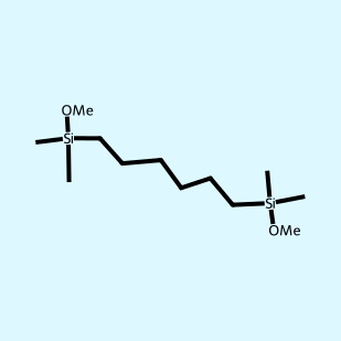 CO[Si](C)(C)CCCCCC[Si](C)(C)OC